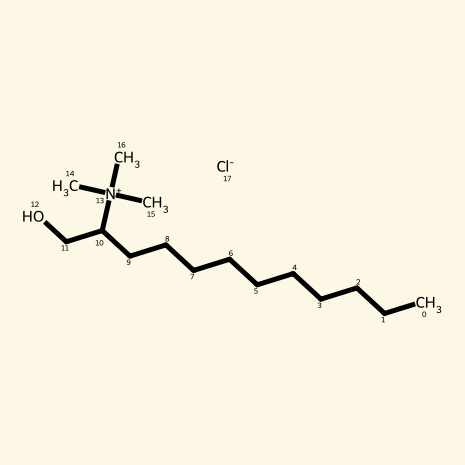 CCCCCCCCCCC(CO)[N+](C)(C)C.[Cl-]